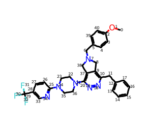 COc1ccc(CN2Cc3c(Cc4ccccc4)nnc(N4CCN(c5ccc(C(F)(F)F)cn5)CC4)c3C2)cc1